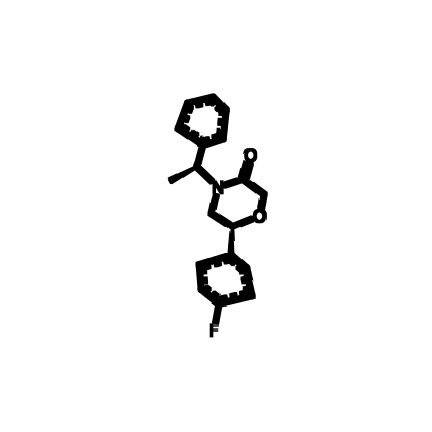 C[C@@H](c1ccccc1)N1C[C@H](c2ccc(F)cc2)OCC1=O